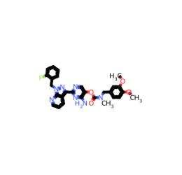 COc1ccc(CN(C)C(=O)Oc2cnc(-c3nn(Cc4ccccc4F)c4ncccc34)nc2N)cc1OC